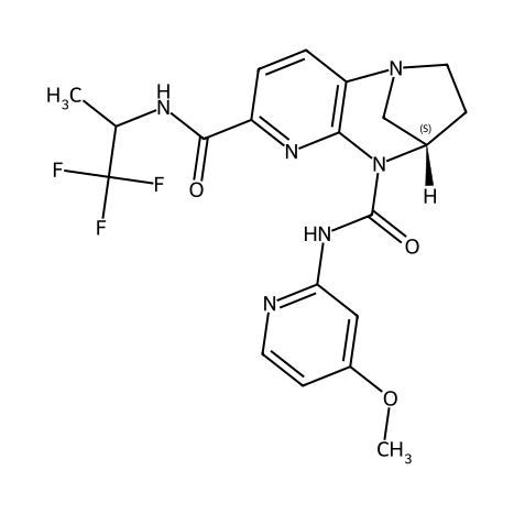 COc1ccnc(NC(=O)N2c3nc(C(=O)NC(C)C(F)(F)F)ccc3N3CC[C@H]2C3)c1